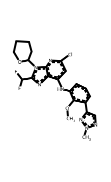 COc1c(Nc2cc(Cl)nc3c2nc(C(F)F)n3C2CCCCO2)cccc1-c1cnn(C)n1